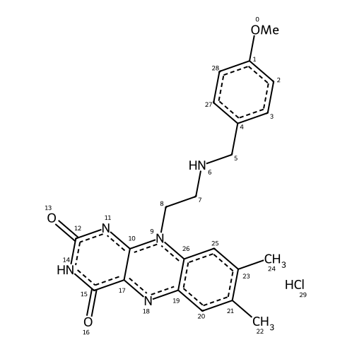 COc1ccc(CNCCn2c3nc(=O)[nH]c(=O)c-3nc3cc(C)c(C)cc32)cc1.Cl